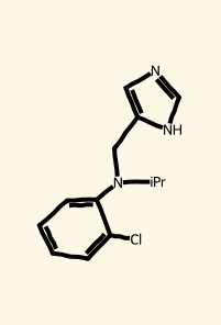 CC(C)N(Cc1cnc[nH]1)c1ccccc1Cl